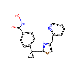 O=C(NO)c1ccc(C2(c3nc(-c4ccccn4)cs3)CC2)cc1